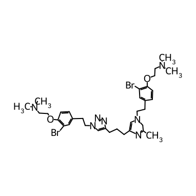 CC1=NC(CCCc2cn(CCc3ccc(OCCN(C)C)c(Br)c3)nn2)=CN(CCc2ccc(OCCN(C)C)c(Br)c2)C1